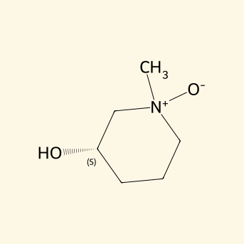 C[N+]1([O-])CCC[C@H](O)C1